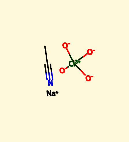 CC#N.[Na+].[O-][Cl+3]([O-])([O-])[O-]